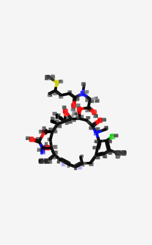 C/C1=C\C=C\[C@@H](C=O)[C@@]2(O)C[C@H](OC(=O)N2)[C@@H](C)[C@@H]2O[C@@]2(C)[C@@H](OC(=O)[C@@H](C)N(C)C(=O)CCC(C)SC(C)C)CC(=O)N(C)c2cc(cc(C=O)c2Cl)C1